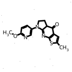 COc1ccc(N2CCC3C(=O)c4cc(C)sc4N=C32)cn1